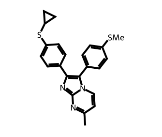 CSc1ccc(-c2c(-c3ccc(SC4CC4)cc3)nc3nc(C)ccn23)cc1